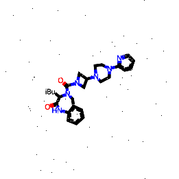 CCC(C)C1C(=O)Nc2ccccc2CN1C(=O)N1CC(N2CCN(c3ccccn3)CC2)C1